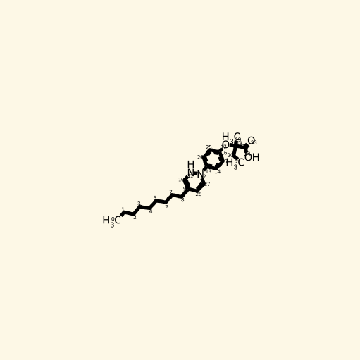 CCCCCCCCCC1=CNN(c2ccc(OC(C)(CC)C(=O)O)cc2)C=C1